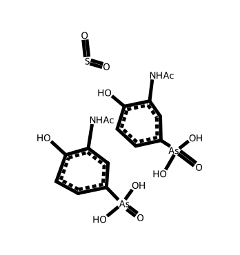 CC(=O)Nc1cc([As](=O)(O)O)ccc1O.CC(=O)Nc1cc([As](=O)(O)O)ccc1O.O=S=O